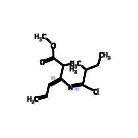 C=C/C=C(\N=C(\Cl)C(C)CC)C(C)C(=O)OC